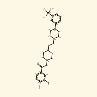 O=C(CN1CCC(CCN2CCN(c3cccc(C(F)(F)F)c3)CC2)CC1)c1ccc(F)c(F)c1